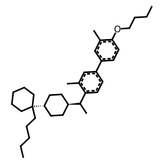 CCCCCC1([C@H]2CC[C@H](C(C)c3ccc(-c4ccc(OCCCC)c(C)c4)cc3C)CC2)CCCCC1